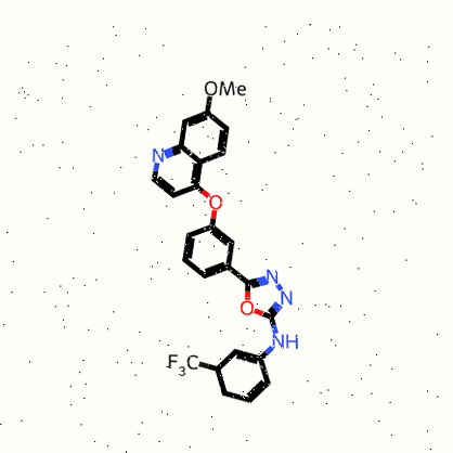 COc1ccc2c(Oc3cccc(-c4nnc(NC5=CC(C(F)(F)F)CC=C5)o4)c3)ccnc2c1